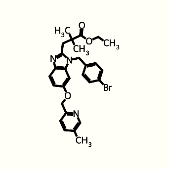 CCOC(=O)C(C)(C)Cc1nc2ccc(OCc3ccc(C)cn3)cc2n1Cc1ccc(Br)cc1